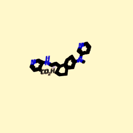 CN(c1cccnc1)c1ccc2c(c1)CCCC2/C=C/Nc1cnccc1C(=O)O